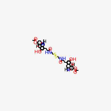 CC(=O)O[C@H]1CCC2[C@H]3Cc4c(CCC(=O)NCCSSCCNC(=O)CCc5cc(O)c6c7c5C[C@H]5C8CC[C@@H](OC(C)=O)[C@@H](C6)[C@@]78CCN5C)cc(O)c5c4[C@@]2(CCN3C)[C@H]1O5